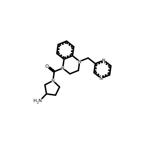 NC1CCN(C(=O)N2CCN(Cc3cnccn3)c3ccccc32)C1